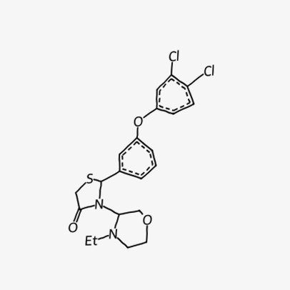 CCN1CCOCC1N1C(=O)CSC1c1cccc(Oc2ccc(Cl)c(Cl)c2)c1